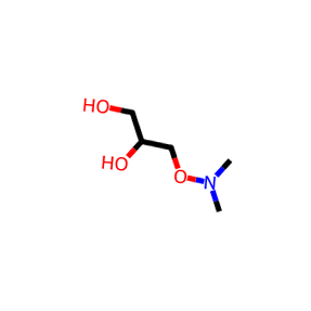 CN(C)OCC(O)CO